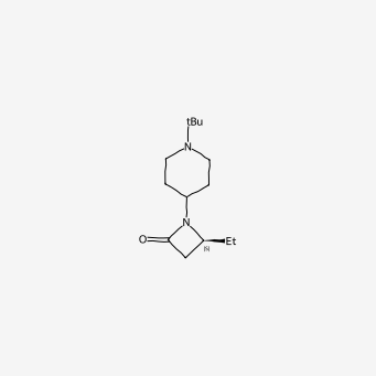 CC[C@H]1CC(=O)N1C1CCN(C(C)(C)C)CC1